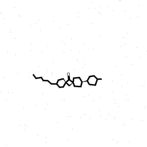 CCCCCCC1CC[C@]2(CC1)C[C@@]1(CC[C@H](C3CCC(C)CC3)CC1)C2=O